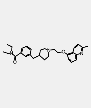 CCN(CC)C(=O)c1cccc(CC2CCN(CCOc3cccc4nc(C)ccc34)CC2)c1